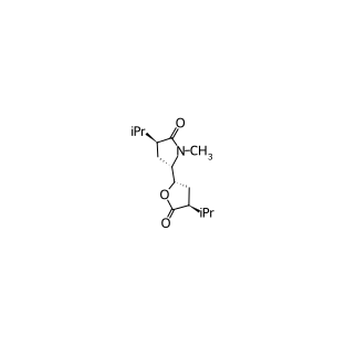 CC(C)[C@@H]1C[C@@H]([C@@H]2C[C@@H](C(C)C)C(=O)N2C)OC1=O